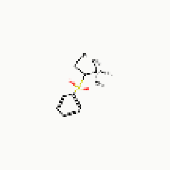 CC(C)C[CH](S(=O)(=O)c1ccccc1)[Ge]([CH3])([CH3])[CH3]